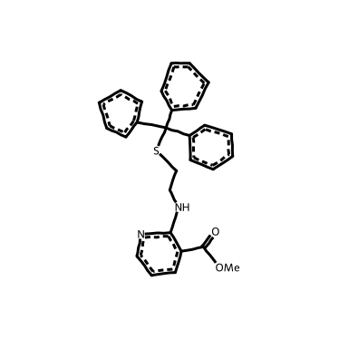 COC(=O)c1cccnc1NCCSC(c1ccccc1)(c1ccccc1)c1ccccc1